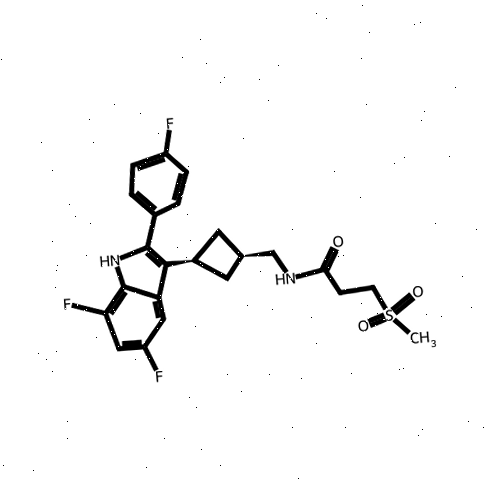 CS(=O)(=O)CCC(=O)NC[C@H]1C[C@@H](c2c(-c3ccc(F)cc3)[nH]c3c(F)cc(F)cc32)C1